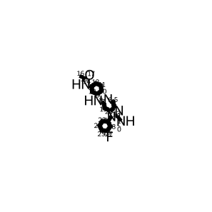 CNc1nc2cnc(Nc3cccc(NC(C)=O)c3)cc2n1-c1cccc(F)c1